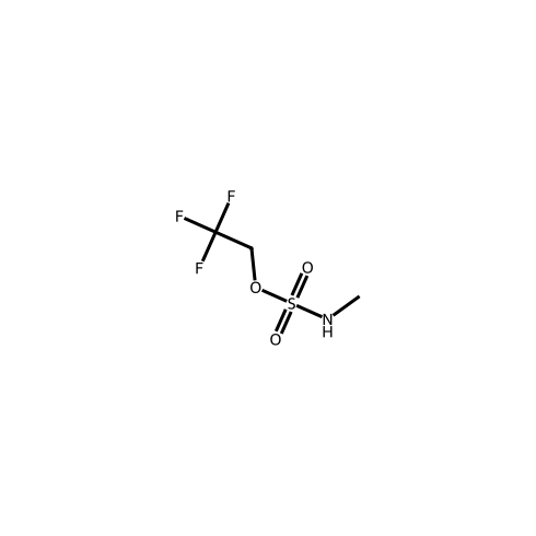 CNS(=O)(=O)OCC(F)(F)F